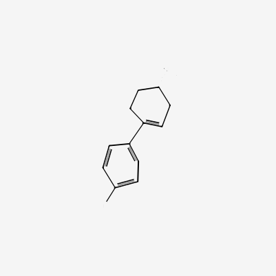 CCc1ccc(C2=CC[C@@H](N)CC2)cc1